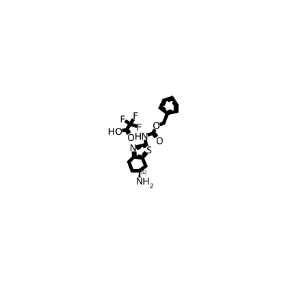 N[C@H]1CCc2nc(NC(=O)OCc3ccccc3)sc2C1.O=C(O)C(F)(F)F